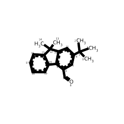 CC(C)(C)c1cc(C=O)c2c(c1)C(C)(C)c1ccccc1-2